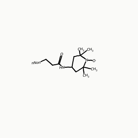 CCCCCCCCCCCC(=O)NC1CC(C)(C)N([O])C(C)(C)C1